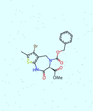 COC(=O)[C@H]1C(=O)Nc2sc(C)c(Br)c2CN1C(=O)OCc1ccccc1